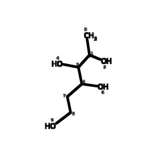 C[C](O)C(O)C(O)CCO